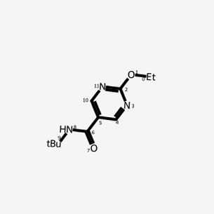 CCOc1ncc(C(=O)NC(C)(C)C)cn1